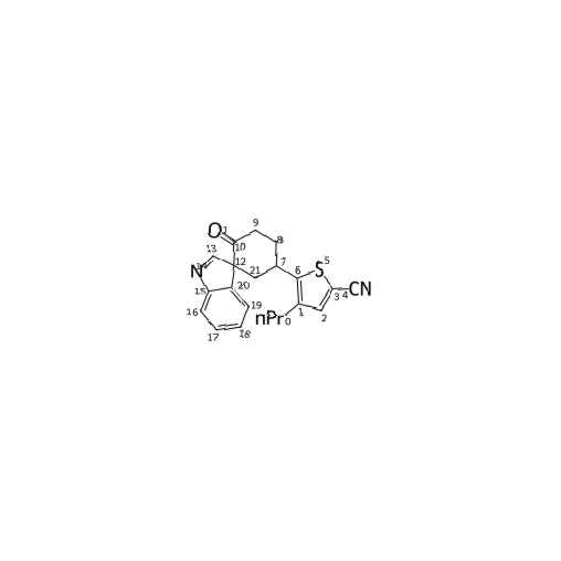 CCCc1cc(C#N)sc1C1CCC(=O)C2(C=Nc3ccccc32)C1